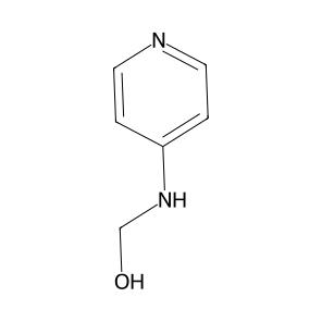 OCNc1ccncc1